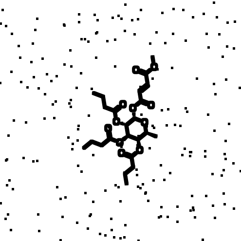 CCCC(=O)O[C@H]1[C@H](OC(=O)CCC)[C@H](OC(=O)/C=C/C(=O)OC)O[C@@H](C)[C@H]1OC(=O)CCC